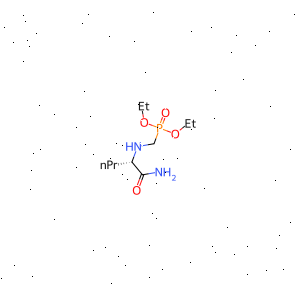 CCC[C@H](NCP(=O)(OCC)OCC)C(N)=O